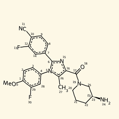 COc1ccc(-n2c(-c3ccc(C#N)c(F)c3)nc(C(=O)N3CCC[C@H](N)C3)c2C)cc1F